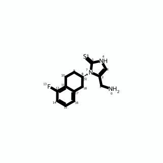 NCc1c[nH]c(=S)n1[C@H]1CCc2c(F)cccc2C1